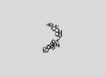 C[C@H](COC(=O)NS(=O)(=O)c1ccc2c(c1)CCC(C)(C)O2)C1CCC2[C@@H]3CC[C@@H]4C[C@H](O)CC[C@]4(C)C3CC[C@@]21C